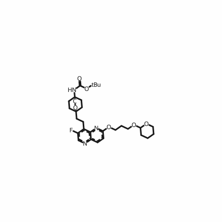 CC(C)(C)OC(=O)NC12CCC(CCc3c(F)cnc4ccc(OCCCOC5CCCCO5)nc34)(CC1)OC2